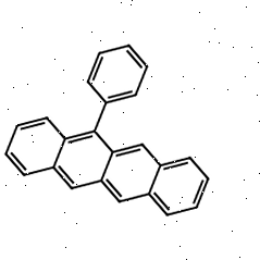 c1ccc(-c2c3ccccc3cc3cc4ccccc4cc23)cc1